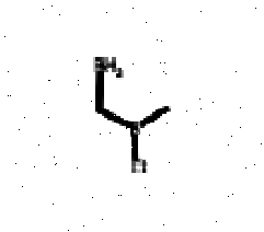 BCB(C)CC